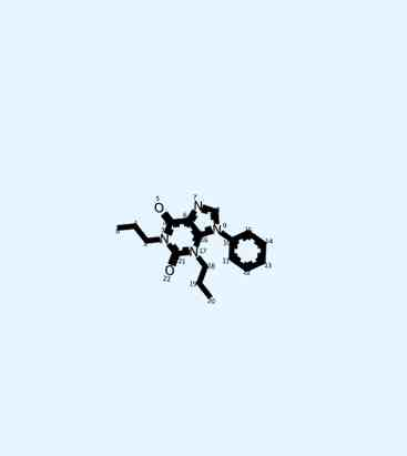 CCCn1c(=O)c2ncn(-c3ccccc3)c2n(CCC)c1=O